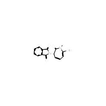 CN1C(=O)[C@@H](N2C(=O)c3ccccc3C2=O)C=CC=C1O